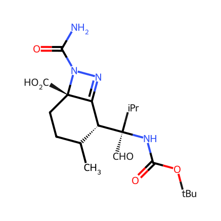 CC1CC[C@@]2(C(=O)O)C(=NN2C(N)=O)[C@@H]1[C@](C=O)(NC(=O)OC(C)(C)C)C(C)C